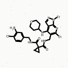 Bc1cc(CNC(=O)C2(C(=O)NCc3c(CC)nc4c(cnn4CC)c3NC3CCOCC3)CC2)ccc1Cl